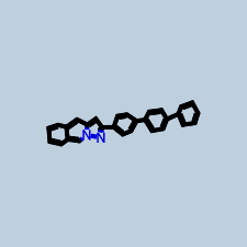 c1ccc(-c2ccc(-c3ccc(-c4cc5cc6ccccc6cn5n4)cc3)cc2)cc1